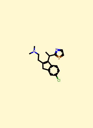 CC(C1=C(CCN(C)C)Cc2cc(Cl)ccc21)c1nccs1